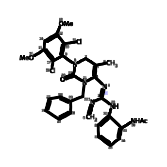 C=N/C(=N\C1=C(C)CN(c2c(Cl)c(OC)cc(OC)c2Cl)C(=O)N1Cc1ccccc1)Nc1ccccc1NC(C)=O